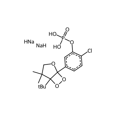 CC(C)(C)C12OOC1(c1ccc(Cl)c(OP(=O)(O)O)c1)OCC2(C)C.[NaH].[NaH]